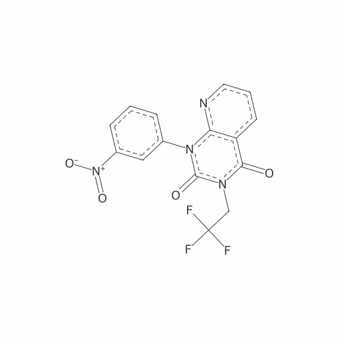 O=c1c2cccnc2n(-c2cccc([N+](=O)[O-])c2)c(=O)n1CC(F)(F)F